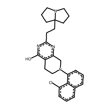 Oc1nc(CCC23CCCN2CCC3)nc2c1CCN(c1cccc3cccc(Cl)c13)C2